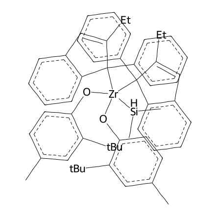 CCC1=Cc2ccccc2[C]1(c1ccccc1)[Zr]([O]c1ccc(C)cc1C(C)(C)C)([O]c1ccc(C)cc1C(C)(C)C)([SiH](C)C)[C]1(c2ccccc2)C(CC)=Cc2ccccc21